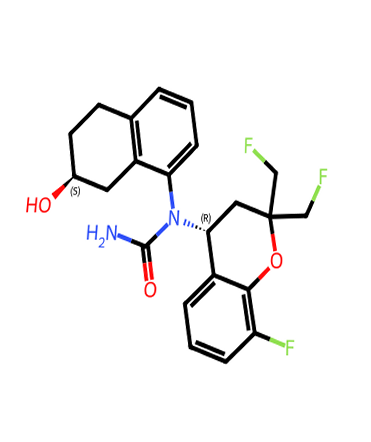 NC(=O)N(c1cccc2c1C[C@@H](O)CC2)[C@@H]1CC(CF)(CF)Oc2c(F)cccc21